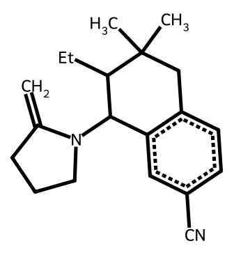 C=C1CCCN1C1c2cc(C#N)ccc2CC(C)(C)C1CC